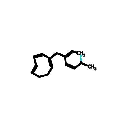 C/C=C(\C=C/C(C)F)CC1=C/CC/C=C/C=C\1